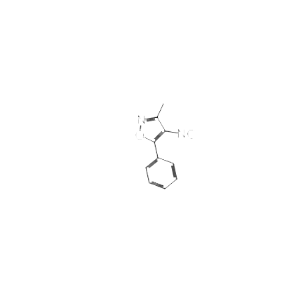 [C-]#[N+]c1c(C)noc1-c1ccccc1